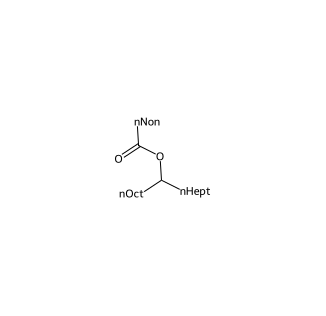 CCCCCCCCCC(=O)OC(CCCCCCC)CCCCCCCC